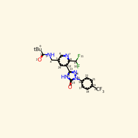 CC(C)(C)C(=O)NCc1cnc(C(F)F)c(-c2nn(-c3ccc(C(F)(F)F)cc3)c(=O)[nH]2)c1